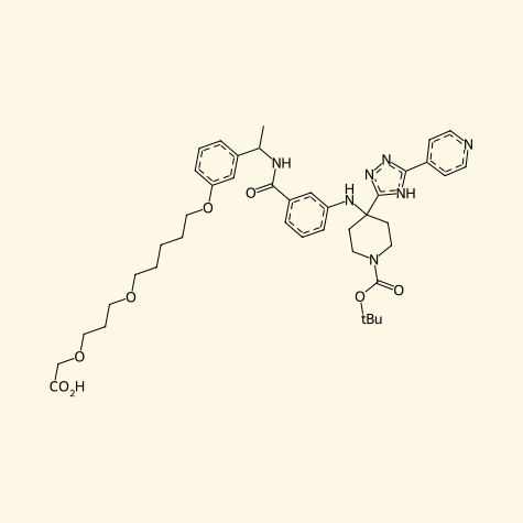 CC(NC(=O)c1cccc(NC2(c3nnc(-c4ccncc4)[nH]3)CCN(C(=O)OC(C)(C)C)CC2)c1)c1cccc(OCCCCCOCCCOCC(=O)O)c1